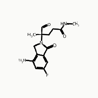 CNC(=O)CC[C@@](C)(C=O)N1Cc2c(N)cc(F)cc2C1=O